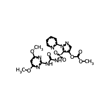 COC(=O)Oc1cnn(-c2ccccn2)c1S(=O)(=O)NC(=O)Nc1nc(OC)cc(OC)n1